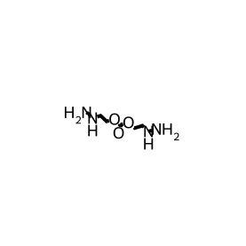 NNCCOC(=O)OCCNN